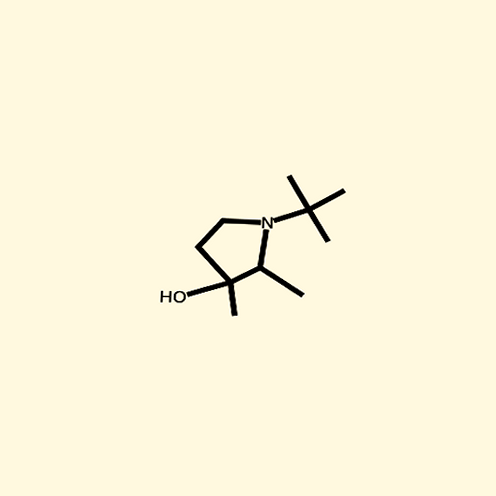 CC1N(C(C)(C)C)CCC1(C)O